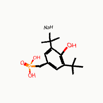 CC(C)(C)c1cc(CP(=O)(O)O)cc(C(C)(C)C)c1O.[NaH]